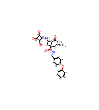 CCCC1(C(=O)NCc2ccc(Oc3ccccc3)cc2)CC(Nc2c(O)c(=O)c2=O)C1C(=O)O